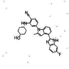 Cc1cc2c(-c3nc4ccc(F)cc4[nH]3)cccc2n1-c1ccc(C#N)c(N[C@H]2CC[C@H](O)CC2)c1